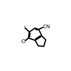 N#Cc1cc(I)c(Cl)c2c1CCC2